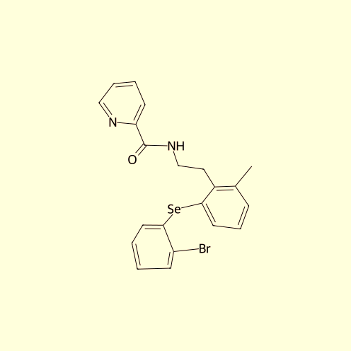 Cc1cccc([Se]c2ccccc2Br)c1CCNC(=O)c1ccccn1